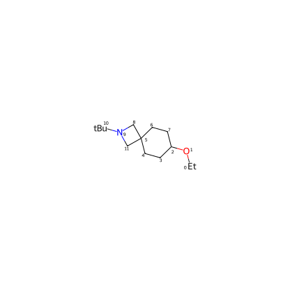 CCOC1CCC2(CC1)CN(C(C)(C)C)C2